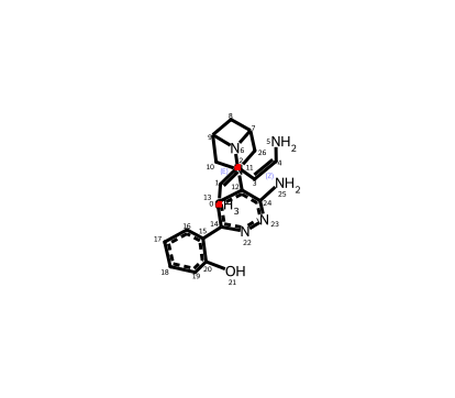 C/C=C(\C=C/N)N1C2CC1CN(c1cc(-c3ccccc3O)nnc1N)C2